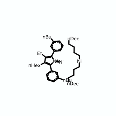 CCCCCCC1=C(c2cccc(CCCC)c2)[N+](=[N-])C(c2cccc(CCCC)c2)=C1CC.CCCCCCCCCCCCC[CH2][Ni][CH2]CCCCCCCCCCCCC